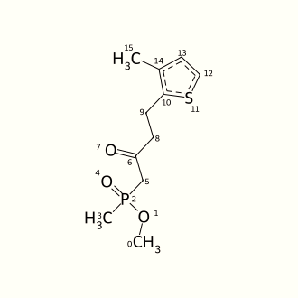 COP(C)(=O)CC(=O)CCc1sccc1C